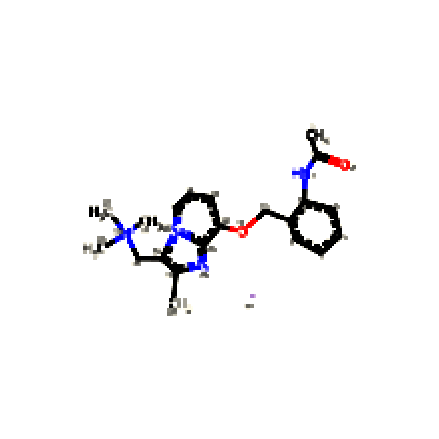 CC(=O)Nc1ccccc1COc1cccn2c(C[N+](C)(C)C)c(C)nc12.[I-]